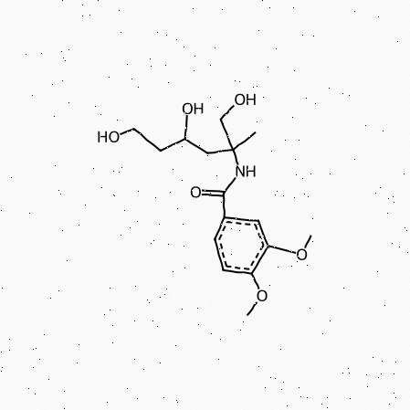 COc1ccc(C(=O)NC(C)(CO)CC(O)CCO)cc1OC